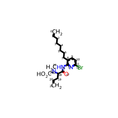 C=CCCCCCCc1ccc(Br)nc1NC(=O)C(CC=C)N(C)C(=O)O